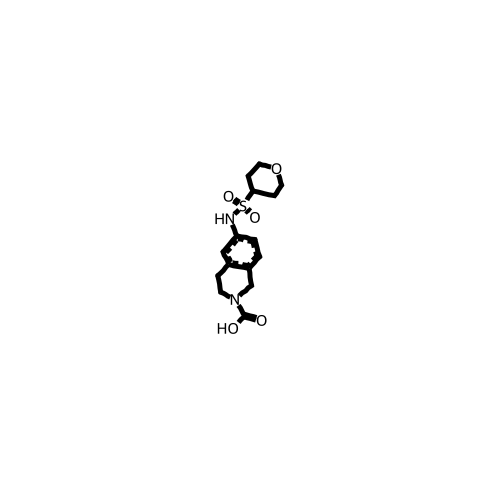 O=C(O)N1CCc2cc(NS(=O)(=O)C3CCOCC3)ccc2C1